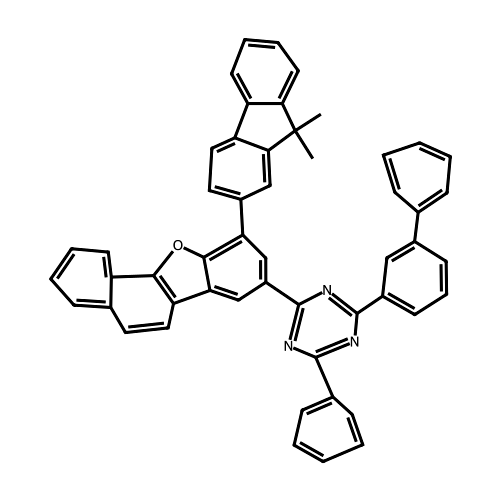 CC1(C)c2ccccc2-c2ccc(-c3cc(-c4nc(-c5ccccc5)nc(-c5cccc(-c6ccccc6)c5)n4)cc4c3oc3c5ccccc5ccc43)cc21